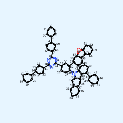 c1ccc(-c2ccc(-c3nc(-c4ccc(-c5ccccc5)cc4)nc(-c4ccc(-n5c6cc7ccccc7cc6c6c(-c7ccccc7)cccc65)c(-c5ccc6c(c5)oc5ccccc56)c4)n3)cc2)cc1